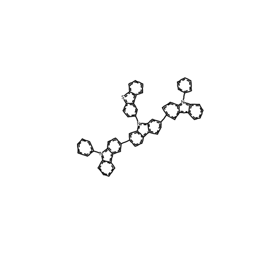 c1ccc(-n2c3ccccc3c3cc(-c4ccc5c6ccc(-c7ccc8c(c7)c7ccccc7n8-c7ccccc7)cc6n(-c6ccc7sc8ccccc8c7c6)c5c4)ccc32)cc1